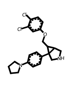 Clc1ccc(OCC2C3CNCC32c2ccc(N3CCCC3)cc2)cc1Cl